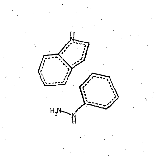 NNc1ccccc1.c1ccc2[nH]ccc2c1